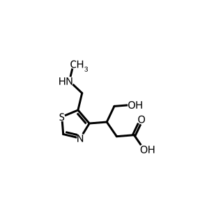 CNCc1scnc1C(CO)CC(=O)O